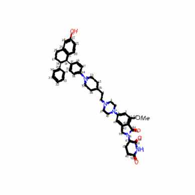 COc1cc(N2CCN(CCC3CCN(c4ccc([C@@H]5c6ccc(O)cc6CC[C@@H]5c5ccccc5)cc4)CC3)CC2)cc2c1C(=O)N(C1CCC(=O)NC1=O)C2